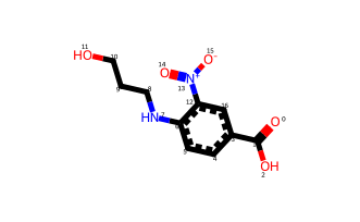 O=C(O)c1ccc(NCCCO)c([N+](=O)[O-])c1